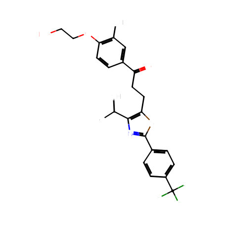 Cc1cc(C(=O)CCc2sc(-c3ccc(C(F)(F)F)cc3)nc2C(C)C)ccc1OCCO